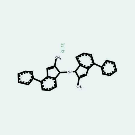 CC1=Cc2c(-c3ccccc3)cccc2[CH]1[Zr+2][CH]1C(C)=Cc2c(-c3ccccc3)cccc21.[Cl-].[Cl-]